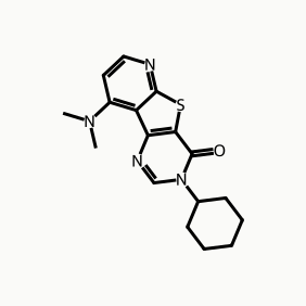 CN(C)c1ccnc2sc3c(=O)n(C4CCCCC4)cnc3c12